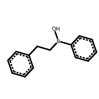 OB(CCc1ccccc1)c1ccccc1